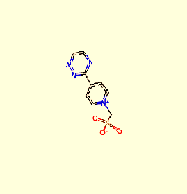 O=S(=O)([O-])C[n+]1ccc(-c2nccnn2)cc1